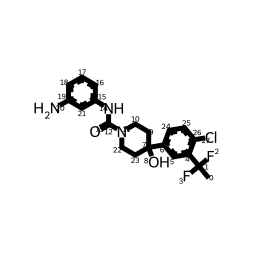 CC(F)(F)c1cc(C2(O)CCN(C(=O)Nc3cccc(N)c3)CC2)ccc1Cl